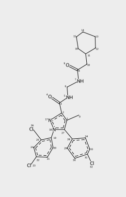 Cc1c(C(=O)NCNC(=O)CC2CCCCC2)nn(-c2ccc(Cl)cc2Cl)c1-c1ccc(Cl)cc1